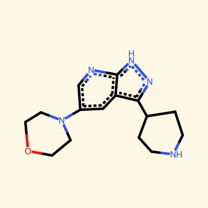 c1nc2[nH]nc(C3CCNCC3)c2cc1N1CCOCC1